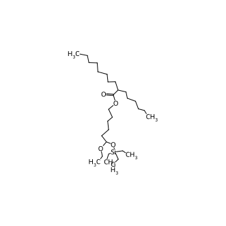 CCCCCCCCC(CCCCCC)C(=O)OCCCCCC(OCC)O[Si](CC)(CC)CC